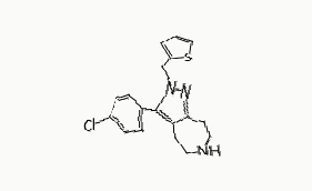 Clc1ccc(-c2c3c(nn2Cc2cccs2)CCNCC3)cc1